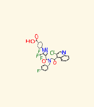 O=C(CN(Cc1ccc(F)cc1)C(=O)c1cnn(C2CCC(C(=O)O)CC2)c1C(F)(F)F)c1c(Cl)cnc2ccccc12